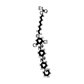 CCC(=O)OCCCCCCCCCOc1cc(Cl)c(N=Nc2ccc(N=Nc3ccc(N4CCCCC4)cc3)cc2)c(Cl)c1